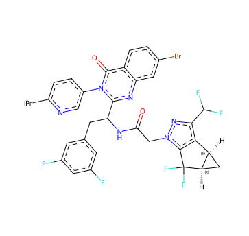 CC(C)c1ccc(-n2c(C(Cc3cc(F)cc(F)c3)NC(=O)Cn3nc(C(F)F)c4c3C(F)(F)[C@@H]3C[C@H]43)nc3cc(Br)ccc3c2=O)cn1